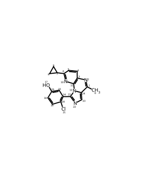 Cc1nc2ccc(C3CC3)nc2n2c(-c3cc(O)ccc3Cl)ncc12